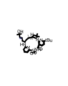 C[C@H]1CC(C/C=C/C(C)(C)O)Nc2cccc(n2)S(=O)(=O)NC(=O)c2ccc(C(C)(C)C)nc2N2C[C@@H]1CC2(C)C